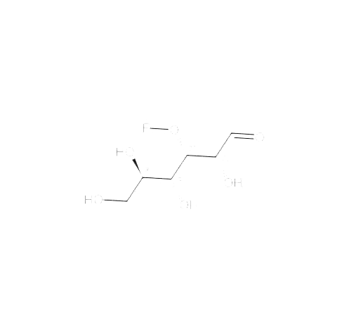 O=C[C@H](O)[C@@H](OF)[C@H](O)[C@H](O)CO